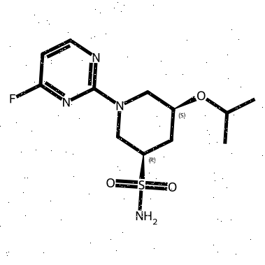 CC(C)O[C@H]1C[C@@H](S(N)(=O)=O)CN(c2nccc(F)n2)C1